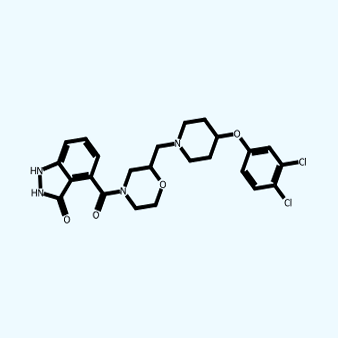 O=C(c1cccc2[nH][nH]c(=O)c12)N1CCOC(CN2CCC(Oc3ccc(Cl)c(Cl)c3)CC2)C1